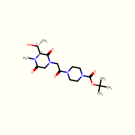 C[C@@H](O)[C@H]1C(=O)N(CC(=O)N2CCN(C(=O)OC(C)(C)C)CC2)CC(=O)N1C